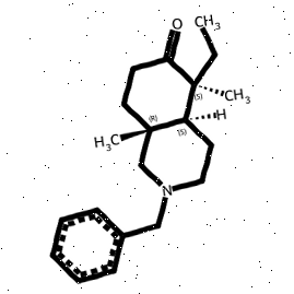 CC[C@]1(C)C(=O)CC[C@@]2(C)CN(Cc3ccccc3)CC[C@@H]21